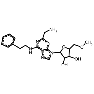 COCC1OC(n2cnc3c(NCCc4ccccc4)nc(CN)nc32)C(O)C1O